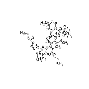 CCCCCCN(C(=O)[C@@H](NC(=O)[C@H]1C[C@H](C)CCN1C(=O)OC(C)(C)C)[C@@H](C)CC)[C@H](C[C@@H](OCC)c1nc(C(=O)OCC)cs1)C(C)C